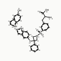 NC(Cc1cccc(S(=O)(=O)N2CC(Oc3ccc4[nH]ncc4c3)(c3ccccc3)C2)c1)C(=O)O.Oc1ccc2[nH]ccc2c1